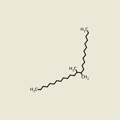 [CH2]C(CCCCCCCCCCCC)C(C)CCCCCCCCCCCC